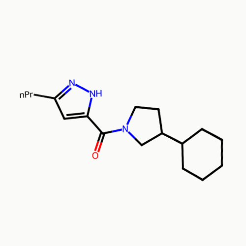 CCCc1cc(C(=O)N2CCC(C3CCCCC3)C2)[nH]n1